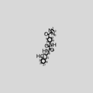 Cn1ccnc1C(=O)c1ccc(NC(=O)C(=O)NCC(CO)Cc2ccccc2)cc1